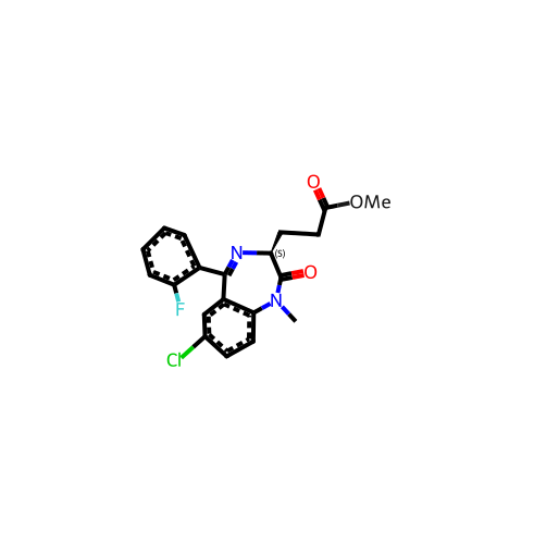 COC(=O)CC[C@@H]1N=C(c2ccccc2F)c2cc(Cl)ccc2N(C)C1=O